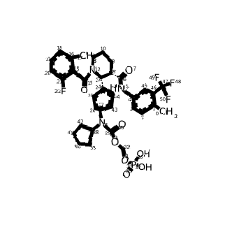 Cc1ccc(NC(=O)[C@H]2CCCN(C(=O)c3c(C)cccc3F)[C@H]2c2ccc(N(C(=O)OCOP(=O)(O)O)C3CCCC3)cc2)cc1C(F)(F)F